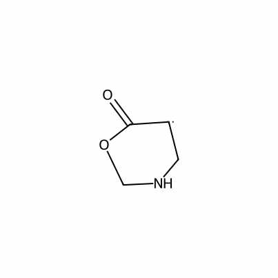 O=C1[CH]CNCO1